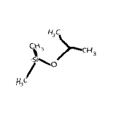 CC(C)O[Si](C)C